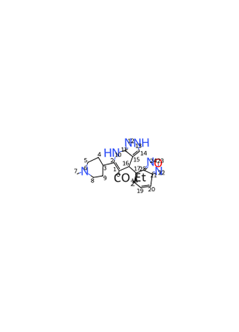 CCOC(=O)C1=C(C2CCN(C)CC2)Nc2n[nH]cc2C1c1cccc2nonc12